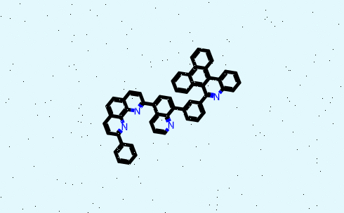 c1ccc(-c2ccc3ccc4ccc(-c5ccc(-c6cccc(-c7nc8ccccc8c8c9ccccc9c9ccccc9c78)c6)c6ncccc56)nc4c3n2)cc1